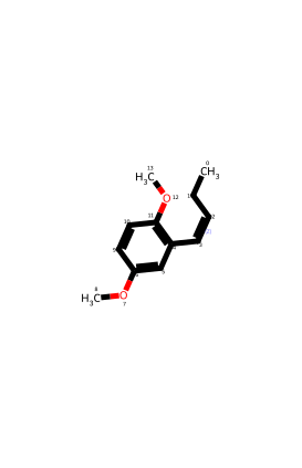 CC/C=C\c1cc(OC)ccc1OC